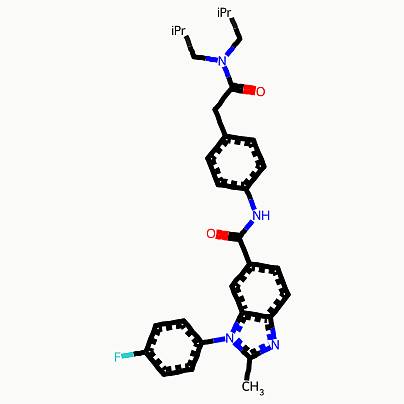 Cc1nc2ccc(C(=O)Nc3ccc(CC(=O)N(CC(C)C)CC(C)C)cc3)cc2n1-c1ccc(F)cc1